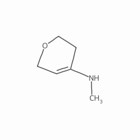 CNC1=CCOCC1